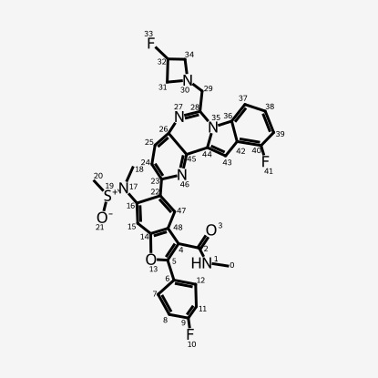 CNC(=O)c1c(-c2ccc(F)cc2)oc2cc(N(C)[S+](C)[O-])c(-c3ccc4nc(CN5CC(F)C5)n5c6cccc(F)c6cc5c4n3)cc12